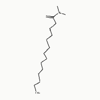 CC(=O)OCCCCCCCCCCCCC(=O)N(C)C